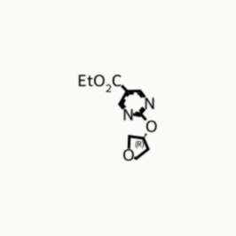 CCOC(=O)c1cnc(O[C@@H]2CCOC2)nc1